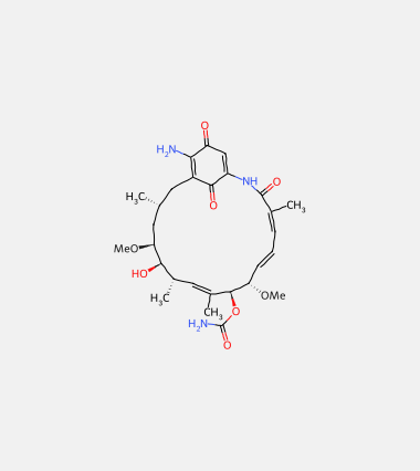 CO[C@H]1/C=C/C=C(/C)C(=O)NC2=CC(=O)C(N)=C(C[C@@H](C)C[C@H](OC)[C@H](O)[C@@H](C)/C=C(\C)[C@@H]1OC(N)=O)C2=O